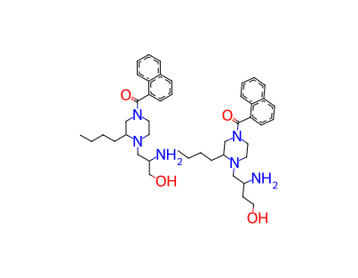 CCCCC1CN(C(=O)c2cccc3ccccc23)CCN1CC(N)CCO.CCCCC1CN(C(=O)c2cccc3ccccc23)CCN1CC(N)CO